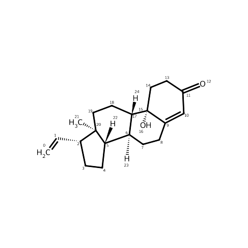 C=C[C@H]1CC[C@H]2[C@@H]3CCC4=CC(=O)CC[C@]4(O)[C@H]3CC[C@]12C